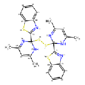 CC1=CC(C)=NC(SSC2(c3nc4ccccc4s3)N=C(C)C=C(C)N2)(c2nc3ccccc3s2)N1